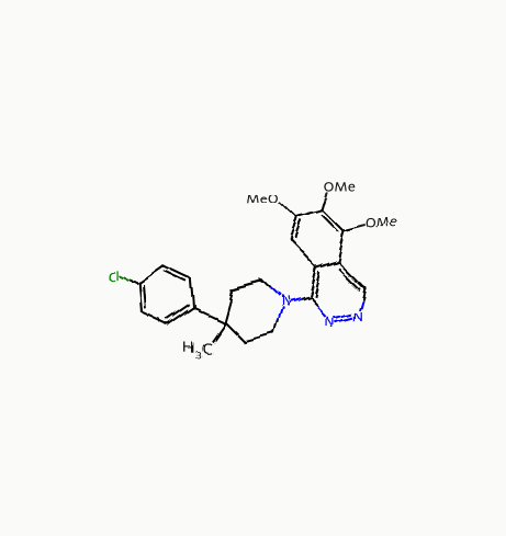 COc1cc2c(N3CCC(C)(c4ccc(Cl)cc4)CC3)nncc2c(OC)c1OC